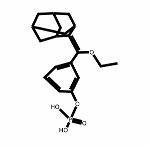 CCOC(=C1C2CC3CC(C2)CC1C3)c1cccc(OP(=O)(O)O)c1